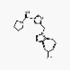 CCCC1C=CC=c2c(ccn2Cc2cc(C(=N)N3CCCC3)co2)=C1